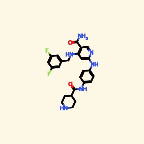 NC(=O)c1cnc(Nc2ccc(NC(=O)C3CCNCC3)cc2)cc1NCc1cc(F)cc(F)c1